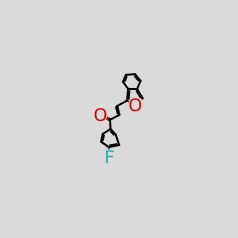 O=C(/C=C/c1occ2ccccc12)c1ccc(F)cc1